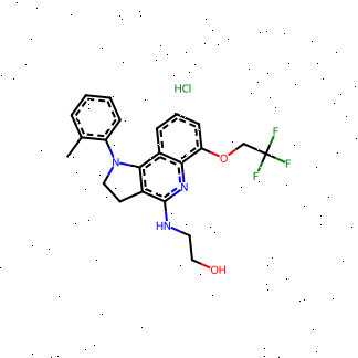 Cc1ccccc1N1CCc2c(NCCO)nc3c(OCC(F)(F)F)cccc3c21.Cl